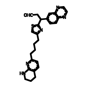 O=CCC(c1ccc2nccnc2c1)c1nc(CCCCc2ccc3c(n2)NCCC3)cs1